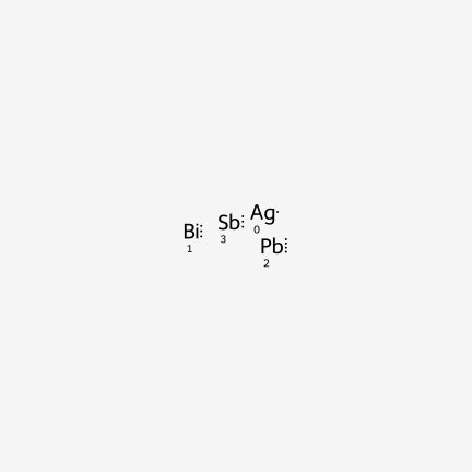 [Ag].[Bi].[Pb].[Sb]